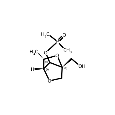 C[C@@H]1O[C@]2(CO)CO[C@H]1C2OP(C)(C)=O